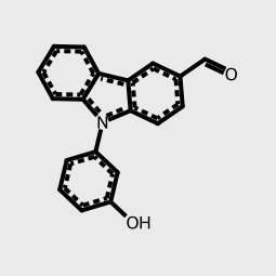 O=Cc1ccc2c(c1)c1ccccc1n2-c1cccc(O)c1